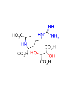 CC(NC(CCCNC(=N)N)C(=O)O)C(=O)O.O=C(O)C(O)C(O)C(=O)O